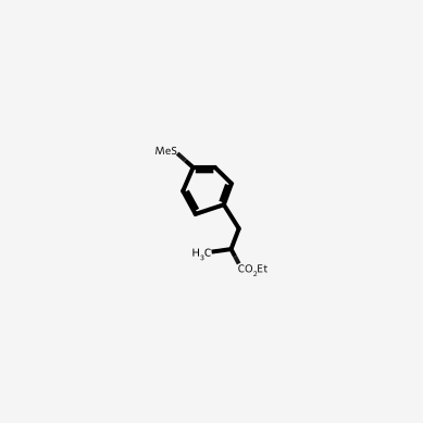 CCOC(=O)C(C)Cc1ccc(SC)cc1